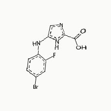 O=C(O)c1ncc(Nc2ccc(Br)cc2F)[nH]1